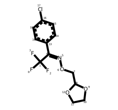 FC(F)(F)/C(=N\OCC1OCCO1)c1ccc(Cl)cc1